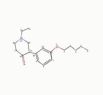 CCCCCOc1cccc(C2CN(CC)CCC2=O)c1